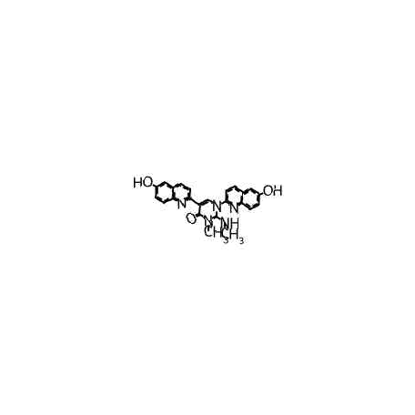 CNC1N(C)C(=O)C(c2ccc3cc(O)ccc3n2)=CN1c1ccc2cc(O)ccc2n1